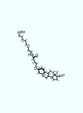 CNCCOCCOCCNC(=O)CCOc1ccc2c(c1)CCC1C2CCC2(C)C(O)CCC12